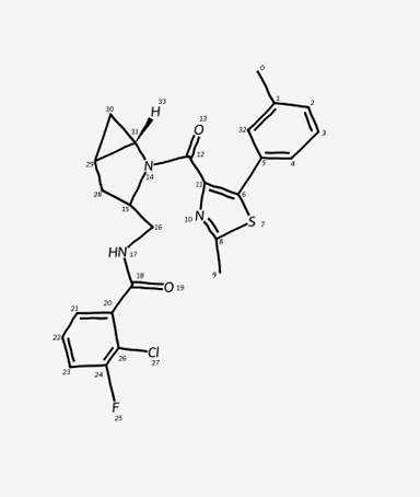 Cc1cccc(-c2sc(C)nc2C(=O)N2C(CNC(=O)c3cccc(F)c3Cl)CC3C[C@@H]32)c1